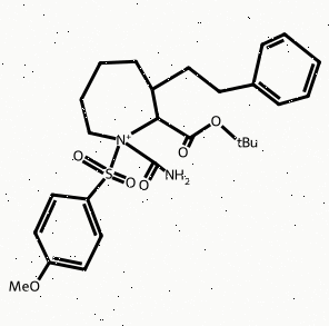 COc1ccc(S(=O)(=O)[N+]2(C(N)=O)CCCCC(CCc3ccccc3)C2C(=O)OC(C)(C)C)cc1